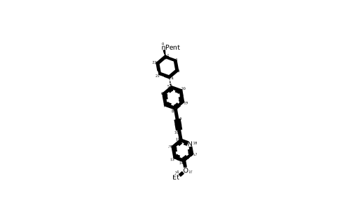 CCCCC[C@H]1CC[C@H](c2ccc(C#Cc3ccc(OCC)cn3)cc2)CC1